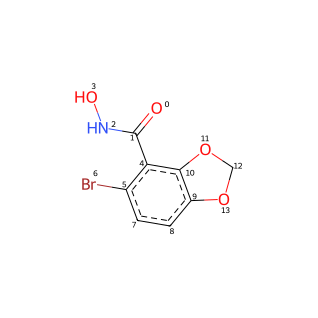 O=C(NO)c1c(Br)ccc2c1OCO2